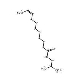 CCCCCCCC/C=C\CCCCCCCC(=O)OCC(C)C(=O)O